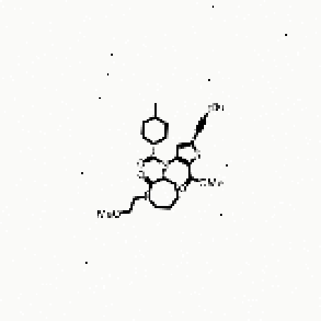 COCCN1CCCC[C@H](N(c2cc(C#CC(C)(C)C)sc2C(=O)OC)C(=O)[C@H]2CC[C@H](C)CC2)C1=O